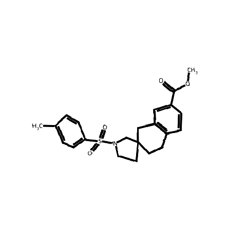 COC(=O)c1ccc2c(c1)CC1(CC2)CCN(S(=O)(=O)c2ccc(C)cc2)C1